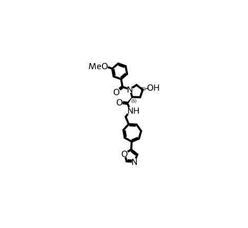 COc1cccc(C(=O)N2C[C@H](O)C[C@H]2C(=O)NCC2=CCC=C(c3cnco3)C=C2)c1